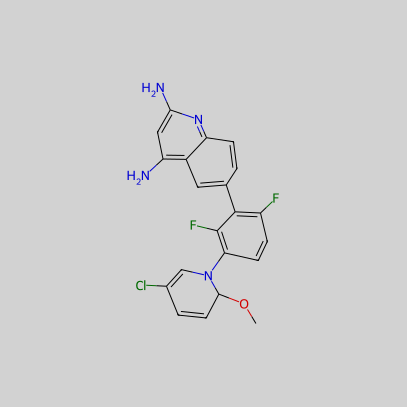 COC1C=CC(Cl)=CN1c1ccc(F)c(-c2ccc3nc(N)cc(N)c3c2)c1F